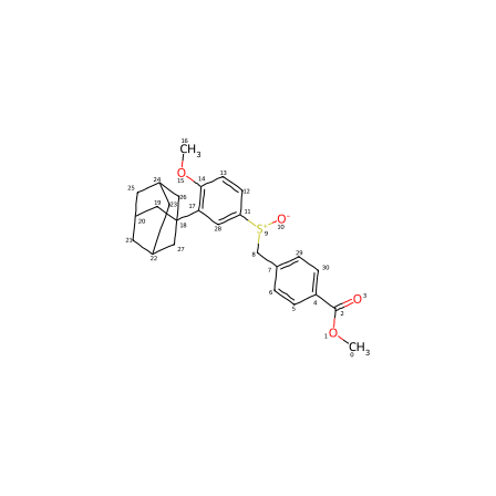 COC(=O)c1ccc(C[S+]([O-])c2ccc(OC)c(C34CC5CC(CC(C5)C3)C4)c2)cc1